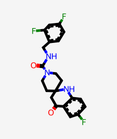 O=C1CC2(CCN(C(=O)NCc3ccc(F)cc3F)CC2)Nc2ccc(F)cc21